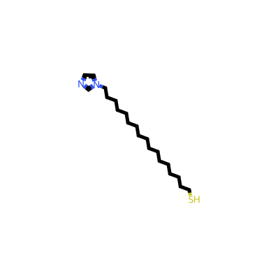 SCCCCCCCCCCCCCCCCCn1ccnc1